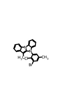 Cc1cc(Br)c(Cl)c(-n2c3ccccc3n3c4ccccc4c(C)c23)c1